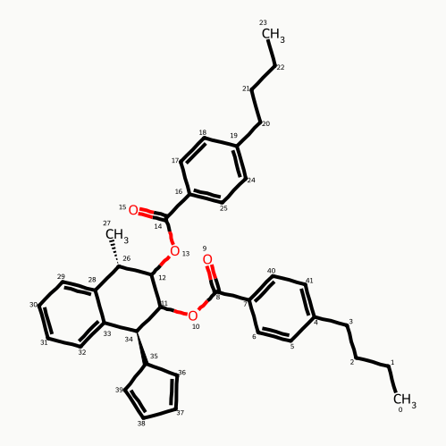 CCCCc1ccc(C(=O)OC2C(OC(=O)c3ccc(CCCC)cc3)[C@@H](C)c3ccccc3[C@@H]2C2C=CC=C2)cc1